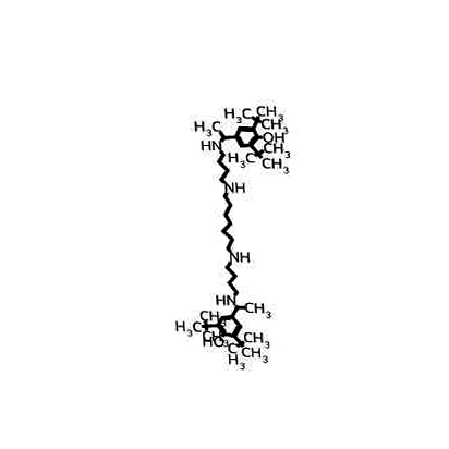 CC(NCCCCNCCCCCCCNCCCCNC(C)c1cc(C(C)(C)C)c(O)c(C(C)(C)C)c1)c1cc(C(C)(C)C)c(O)c(C(C)(C)C)c1